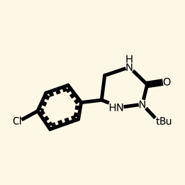 CC(C)(C)N1NC(c2ccc(Cl)cc2)CNC1=O